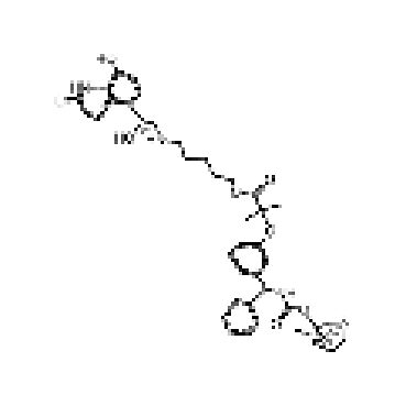 CC(C)(Oc1cccc(C(NC(=O)O[C@H]2CN3CCC2CC3)c2ccccc2)c1)C(=O)OCCCCCNC[C@@H](O)c1ccc(O)c2[nH]c(=O)ccc12